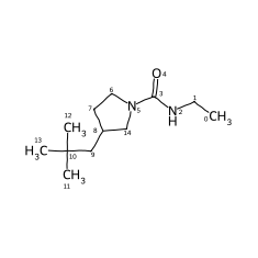 CCNC(=O)N1CCC(CC(C)(C)C)C1